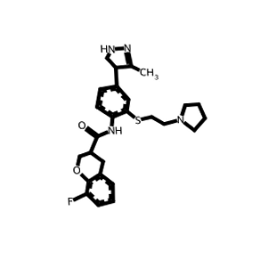 CC1=NNCC1c1ccc(NC(=O)C2COc3c(F)cccc3C2)c(SCCN2CCCC2)c1